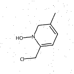 CC1=CC=C(CCl)N(O)C1